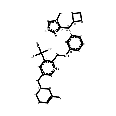 CC1=CCCN(Cc2cnc(CNc3cccc([C@H](c4nncn4C)C4CCC4)c3)c(C(F)(F)F)c2)C1